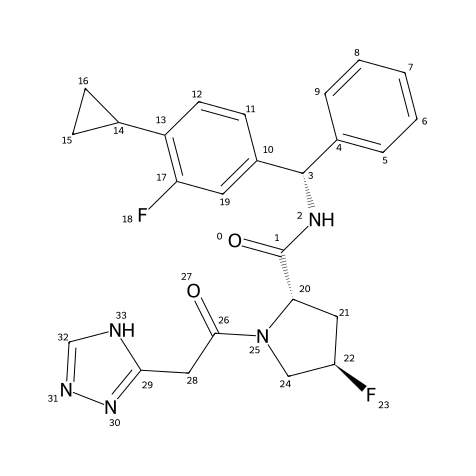 O=C(N[C@@H](c1ccccc1)c1ccc(C2CC2)c(F)c1)[C@@H]1C[C@@H](F)CN1C(=O)Cc1nnc[nH]1